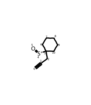 C#CCC1([S+]=O)CCCCC1